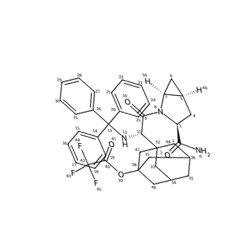 NC(=O)[C@@H]1C[C@@H]2C[C@@H]2N1C(=O)[C@@H](NC(c1ccccc1)(c1ccccc1)c1ccccc1)C12CC3CC(CC(OC(=O)C(F)(F)F)(C3)C1)C2